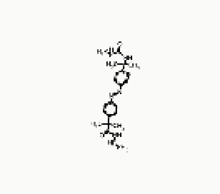 CC(C)(NC(=O)PP)c1ccc(/N=N/c2ccc(C(C)(C)C(=O)NPP)cc2)cc1